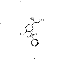 CC1CCC(C(O)CO)CC1S(=O)(=O)c1ccccc1